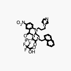 CC(C)[C@H]1C(=O)N(Cc2cccc3ccccc23)CC2N(CCCn3ccnc3)c3ccc([N+](=O)[O-])cc3C(=O)N21.O=C(O)C(F)(F)F